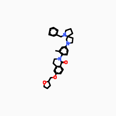 Cc1cc(N2CCC3(CCCN3Cc3ccccc3)C2)ccc1N1CCc2cc(OCC3CCCO3)ccc2C1=O